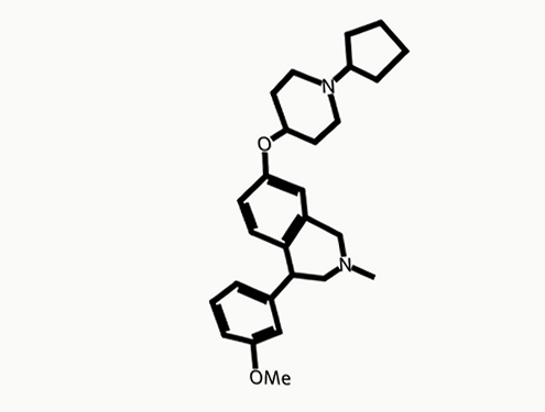 COc1cccc(C2CN(C)Cc3cc(OC4CCN(C5CCCC5)CC4)ccc32)c1